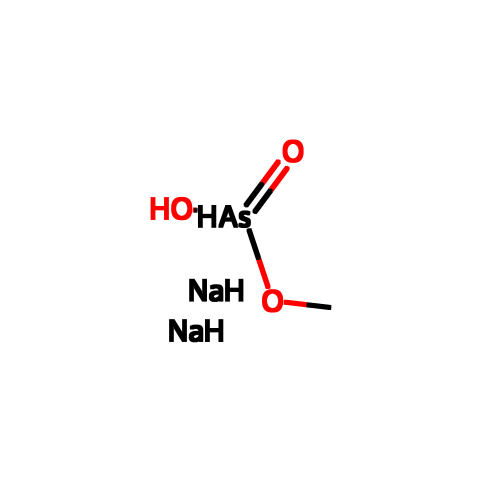 CO[AsH](=O)O.[NaH].[NaH]